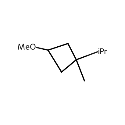 COC1CC(C)(C(C)C)C1